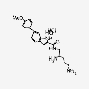 COc1ccc(-c2ccc3cc(C(=O)NCC(N)CCCN)[nH]c3c2)cc1.Cl.Cl